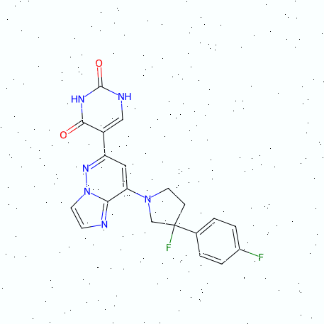 O=c1[nH]cc(-c2cc(N3CCC(F)(c4ccc(F)cc4)C3)c3nccn3n2)c(=O)[nH]1